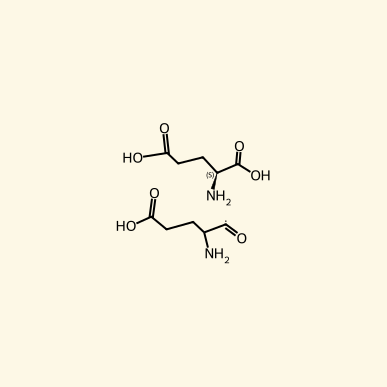 NC([C]=O)CCC(=O)O.N[C@@H](CCC(=O)O)C(=O)O